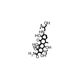 CC1c2ccc(NCC(CO)N(C)C)c(O)c2C(=O)C2=C(O)[C@]3(O)C(=O)C(C(N)=O)=C(O)[C@@H](N(C)C)C3C(O)C21